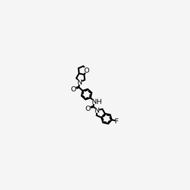 O=C(Nc1ccc(C(=O)N2CC3CCOC3C2)cc1)N1Cc2ccc(F)cc2C1